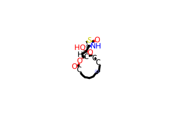 O=C1CCCCC/C=C/CCCC2C[C@H](C[C@](O)([C@@H]3CSC(=O)N3)O2)O1